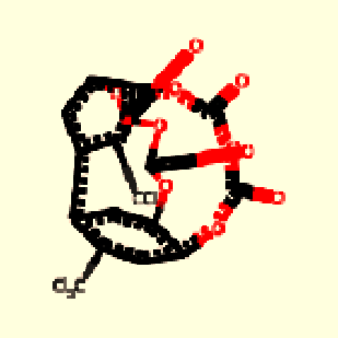 O=C1OC(=O)Oc2cc3c(C(Cl)(Cl)Cl)cc2oc(=O)oc(=O)oc2cc(C(Cl)(Cl)Cl)c3cc2O1